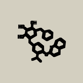 CC(C)c1cc(Cc2cc(Cc3ccccc3)c(O)c(O)c2O)ccc1Oc1ccc2ccccc2n1